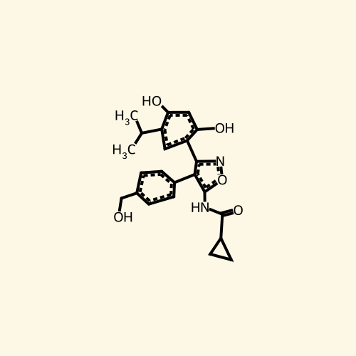 CC(C)c1cc(-c2noc(NC(=O)C3CC3)c2-c2ccc(CO)cc2)c(O)cc1O